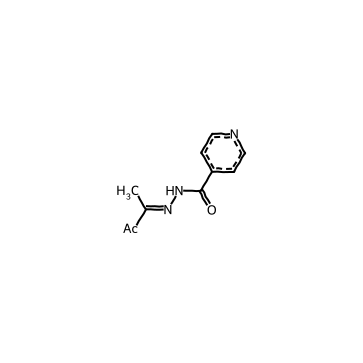 CC(=O)C(C)=NNC(=O)c1ccncc1